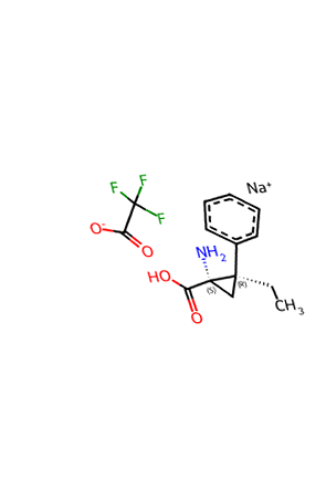 CC[C@]1(c2ccccc2)C[C@@]1(N)C(=O)O.O=C([O-])C(F)(F)F.[Na+]